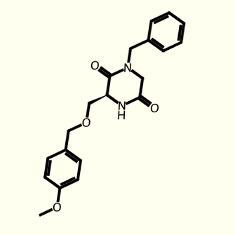 COc1ccc(COC[C@@H]2NC(=O)CN(Cc3ccccc3)C2=O)cc1